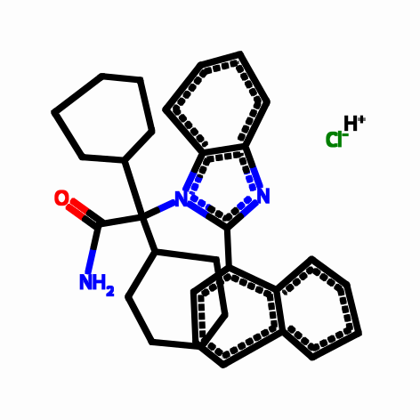 NC(=O)C(C1CCCCC1)(C1CCCCC1)n1c(-c2cccc3ccccc23)nc2ccccc21.[Cl-].[H+]